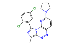 Cc1nc(-c2cc(Cl)ccc2Cl)n2c1nnc1ccc(N3CCCC3)nc12